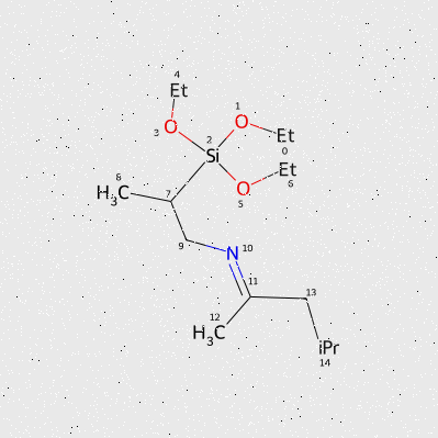 CCO[Si](OCC)(OCC)C(C)C/N=C(\C)CC(C)C